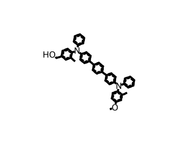 COc1ccc(N(c2ccccc2)c2ccc(-c3ccc(-c4ccc(N(c5ccccc5)c5ccc(CO)cc5C)cc4)cc3)cc2)c(C)c1